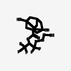 O=C(OC(C(F)(F)F)C(F)(F)SOOO)C12CC3CC(O)(CC(O)(C3)C1)C2